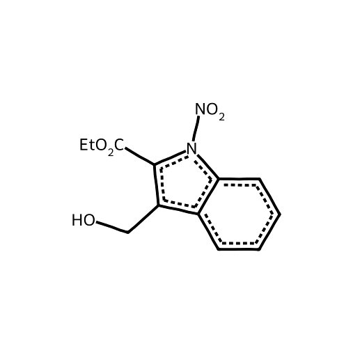 CCOC(=O)c1c(CO)c2ccccc2n1[N+](=O)[O-]